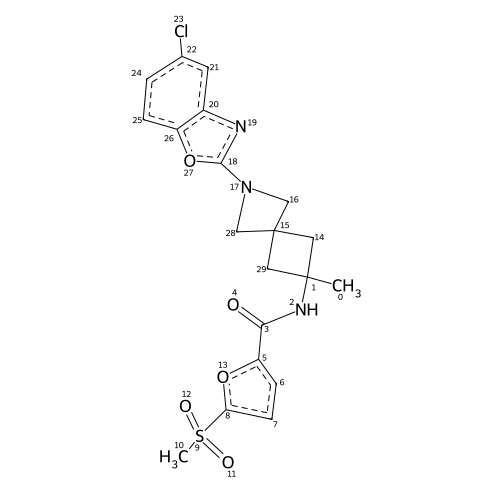 CC1(NC(=O)c2ccc(S(C)(=O)=O)o2)CC2(CN(c3nc4cc(Cl)ccc4o3)C2)C1